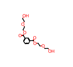 O=C(OCCOCCO)c1cccc(C(=O)OCCOCCO)c1